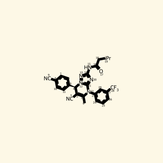 CC1=C(C#N)[C@@H](c2ccc(C#N)cc2)n2nc(NC(=O)CC(C)C)nc2N1c1cccc(C(F)(F)F)c1